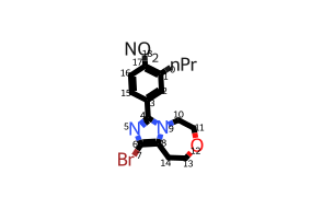 CCCc1cc(-c2nc(Br)c3n2CCOCC3)ccc1[N+](=O)[O-]